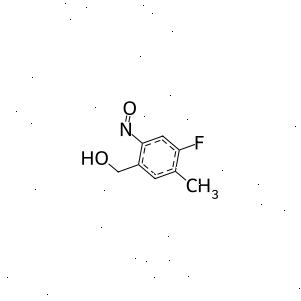 Cc1cc(CO)c(N=O)cc1F